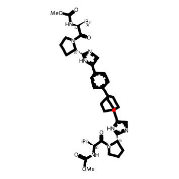 CC[C@H](C)[C@H](NC(=O)OC)C(=O)N1CCC[C@H]1c1ncc(-c2ccc(C34CCC(c5cnc([C@@H]6CCCN6C(=O)[C@@H](NC(=O)OC)C(C)C)[nH]5)(CC3)CC4)cc2)[nH]1